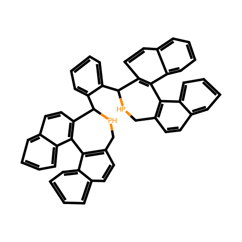 c1ccc(C2PCc3ccc4ccccc4c3-c3c2ccc2ccccc32)c(C2PCc3ccc4ccccc4c3-c3c2ccc2ccccc32)c1